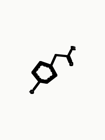 CCC(=O)Cc1ccc([O])cc1